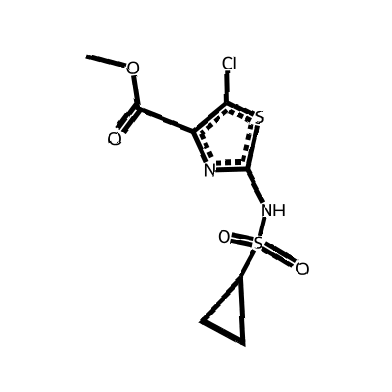 COC(=O)c1nc(NS(=O)(=O)C2CC2)sc1Cl